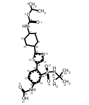 CC(C)OC(=O)NC1CCC(c2ncc(-c3ccc(NC(=O)O)cc3S(=O)(=O)NC(C)(C)C)s2)CC1